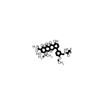 CCOc1ccc(-c2ccc(O)c3c2C[C@H]2C[C@H]4[C@H](N(C)C)C(O)=C(C(N)=O)C(=O)[C@@]4(O)C(O)=C2C3=O)cc1CNC(=O)C(F)(F)F